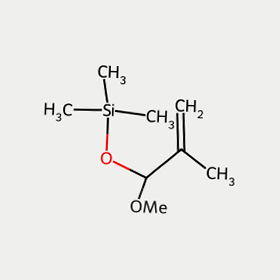 C=C(C)C(OC)O[Si](C)(C)C